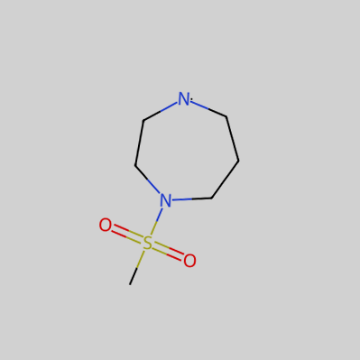 CS(=O)(=O)N1CCC[N]CC1